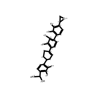 CCCC(O)c1ccc(C2CC=C(c3ccc(-c4ccc(C5CO5)c(F)c4F)c(F)c3F)CC2)c(F)c1F